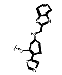 COc1cc(NCc2nc3ccccc3s2)ccc1-c1cnco1